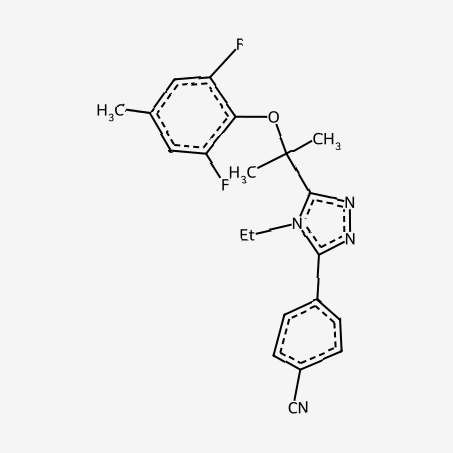 CCn1c(-c2ccc(C#N)cc2)nnc1C(C)(C)Oc1c(F)cc(C)cc1F